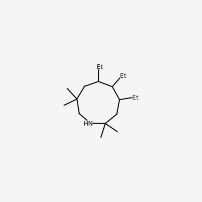 CCC1CC(C)(C)CNC(C)(C)CC(CC)C1CC